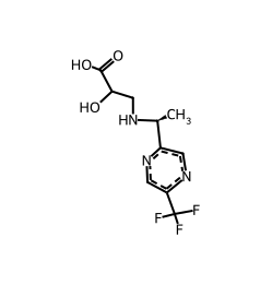 C[C@H](NCC(O)C(=O)O)c1cnc(C(F)(F)F)cn1